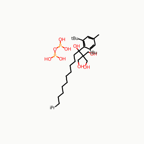 Cc1cc(C(C)(C)C)c(C(O)(CCCCCCCCCCC(C)C)C(CO)(CO)CO)c(C(C)(C)C)c1.OP(O)OP(O)O